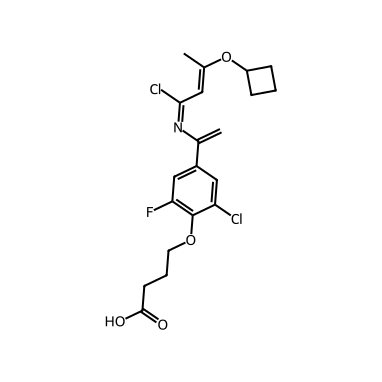 C=C(/N=C(Cl)\C=C(/C)OC1CCC1)c1cc(F)c(OCCCC(=O)O)c(Cl)c1